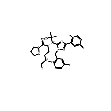 COC(C)(C)[C@H](c1nc(-c2cc(F)ccc2F)nn1Cc1cccc(F)c1)N(CC[C@H](N)CF)C(=O)[C@@H]1CCCO1